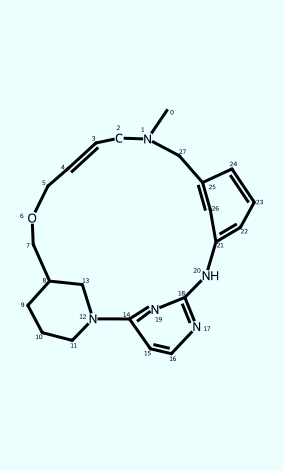 CN1C/C=C/COCC2CCCN(C2)c2ccnc(n2)Nc2cccc(c2)C1